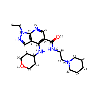 CCn1ncc2c(NC3CCOCC3)c(C(=O)NCCN3CCCCC3)cnc21